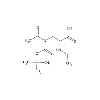 CCNC(CN(C(C)=O)C(=O)OC(C)(C)C)C(=O)O